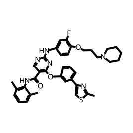 Cc1nc(-c2cccc(Oc3nc(Nc4ccc(OCCCN5CCCCC5)c(F)c4)ncc3C(=O)Nc3c(C)cccc3C)c2)cs1